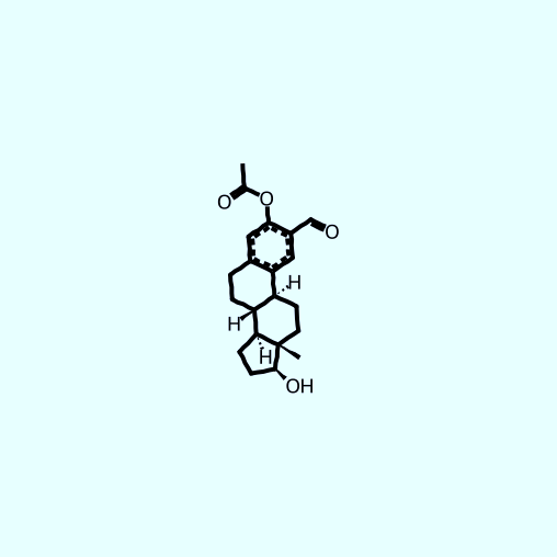 CC(=O)Oc1cc2c(cc1C=O)[C@H]1CC[C@]3(C)[C@@H](O)CC[C@H]3[C@@H]1CC2